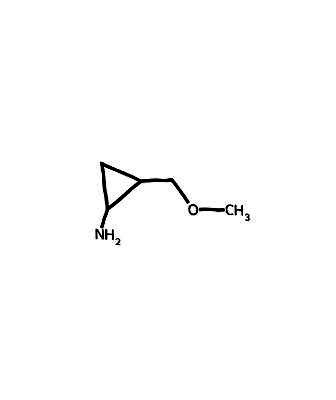 COCC1CC1N